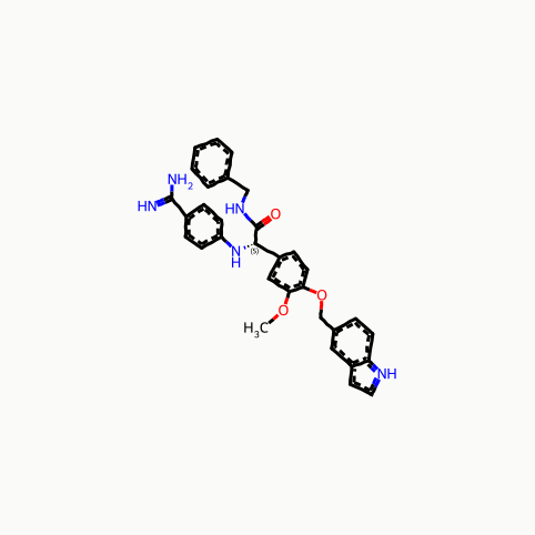 COc1cc([C@H](Nc2ccc(C(=N)N)cc2)C(=O)NCc2ccccc2)ccc1OCc1ccc2[nH]ccc2c1